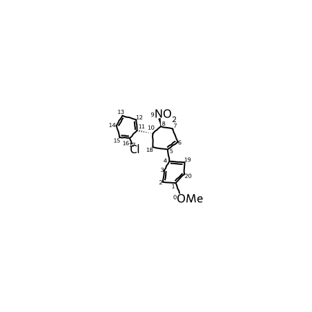 COc1ccc(C2=CC[C@H]([N+](=O)[O-])[C@@H](c3ccccc3Cl)C2)cc1